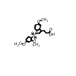 COc1ccc(S(=O)(=O)n2cc(CCC(=O)O)c3cc(OC)ccc32)c(OC)c1